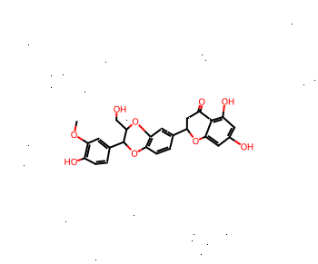 COc1cc(C2Oc3ccc(C4CC(=O)c5c(O)cc(O)cc5O4)cc3OC2CO)ccc1O